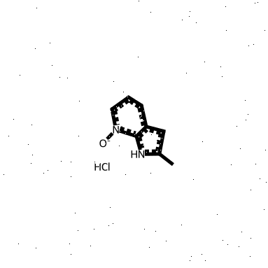 Cc1cc2ccc[n+]([O-])c2[nH]1.Cl